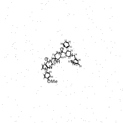 COc1ccc(-n2ccc3c(=O)n(CC4(O)CCN(C(=O)[C@@H]5CCN(Cc6cc(C)nn6C)C[C@H]5c5ccccc5)CC4)cnc32)cc1